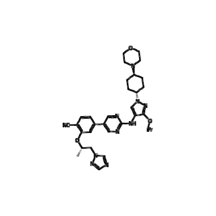 CC(C)Oc1nn([C@H]2CC[C@H](N3CCOCC3)CC2)cc1Nc1ncc(-c2ccc(C#N)c(O[C@@H](C)Cn3cncn3)c2)cn1